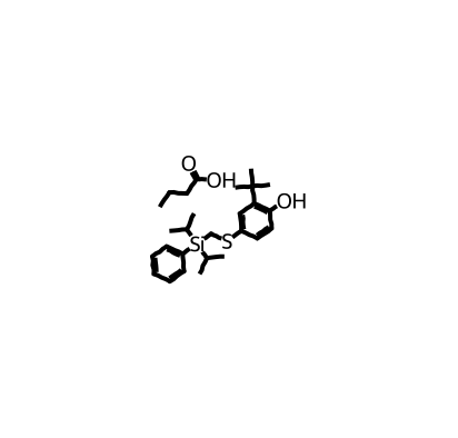 CC(C)[Si](CSc1ccc(O)c(C(C)(C)C)c1)(c1ccccc1)C(C)C.CCCC(=O)O